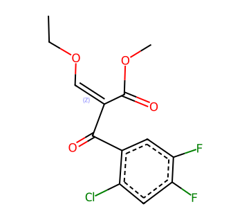 CCO/C=C(\C(=O)OC)C(=O)c1cc(F)c(F)cc1Cl